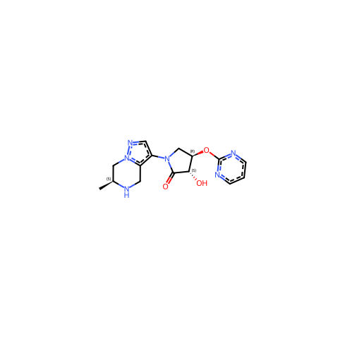 C[C@H]1Cn2ncc(N3C[C@@H](Oc4ncccn4)[C@H](O)C3=O)c2CN1